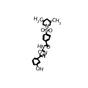 C[C@@H]1C[C@H](C)CN(S(=O)(=O)c2ccc(C(=O)Nc3nnc(-c4cccc(O)c4)o3)cc2)C1